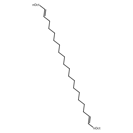 CCCCCCCC/C=C/CCCCCCCCCCCCCCCC/C=C/CCCCCCCC